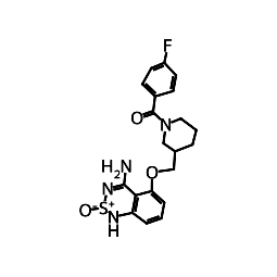 NC1=N[S+]([O-])Nc2cccc(OCC3CCCN(C(=O)c4ccc(F)cc4)C3)c21